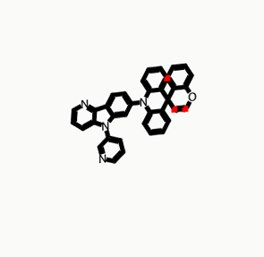 c1cncc(-n2c3cc(N4c5ccccc5C5(c6ccccc6Oc6ccccc65)c5ccccc54)ccc3c3ncccc32)c1